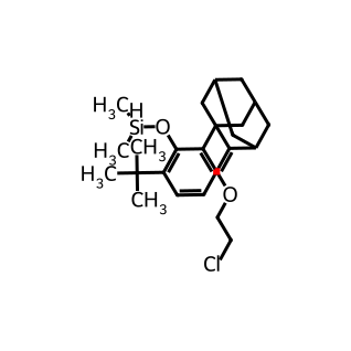 C[SiH](C)Oc1c(C(C)(C)C)cccc1C12CC3CC(CC(C3)C1=COCCCl)C2